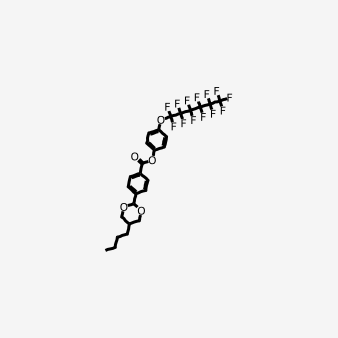 CCCCC1COC(c2ccc(C(=O)Oc3ccc(OC(F)(F)C(F)(F)C(F)(F)C(F)(F)C(F)(F)C(F)(F)F)cc3)cc2)OC1